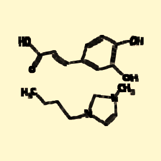 CCCCN1C=CN(C)C1.O=C(O)/C=C/c1ccc(O)c(O)c1